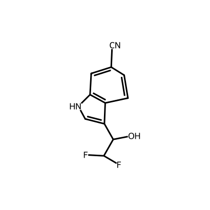 N#Cc1ccc2c(C(O)C(F)F)c[nH]c2c1